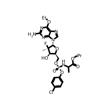 CCOc1nc(N)nc2c1ncn2[C@@H]1O[C@@H](COP(=O)(NC(C)C(=O)OC(C)C)Oc2ccc(Cl)cc2)[C@@H](O)[C@@]1(C)F